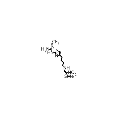 CSC(=CNCCCCc1csc(NC(N)=NCC(F)(F)F)n1)[N+](=O)[O-]